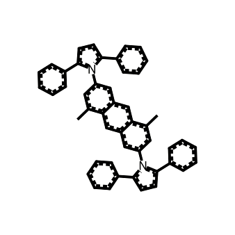 Cc1cc(-n2c(-c3ccccc3)ccc2-c2ccccc2)cc2cc3c(C)cc(-n4c(-c5ccccc5)ccc4-c4ccccc4)cc3cc12